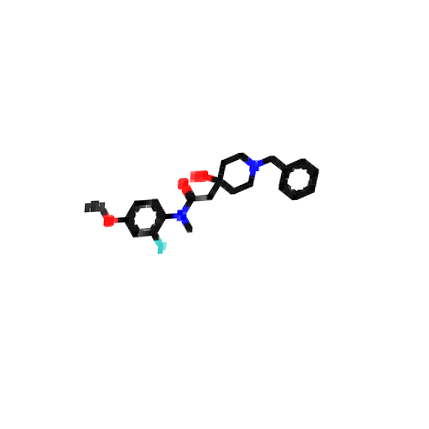 CCCCOc1ccc(N(C)C(=O)CC2(O)CCN(Cc3ccccc3)CC2)c(F)c1